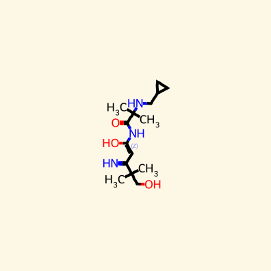 CC(C)(CO)C(=N)/C=C(\O)NC(=O)C(C)(C)NCC1CC1